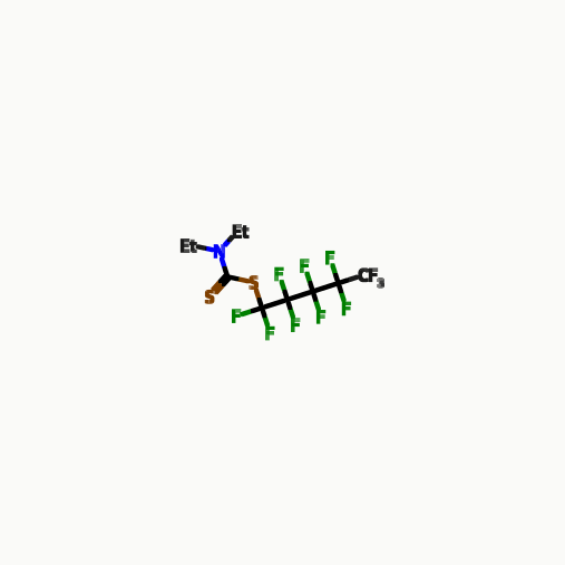 CCN(CC)C(=S)SC(F)(F)C(F)(F)C(F)(F)C(F)(F)C(F)(F)F